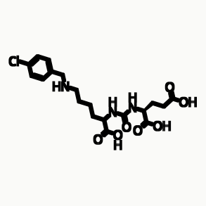 O=C(O)CC[C@H](NC(=O)NC(CCCCNCc1ccc(Cl)cc1)C(=O)O)C(=O)O